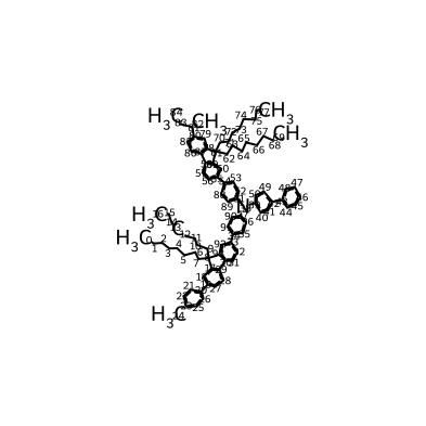 CCCCCCCCC1(CCCCCCCC)c2cc(-c3ccc(C)cc3)ccc2-c2ccc(-c3ccc(N(c4ccc(-c5ccccc5)cc4)c4ccc(-c5ccc6c(c5)C(CCCCCCCC)(CCCCCCCC)c5cc(C(C)CC)ccc5-6)cc4)cc3)cc21